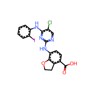 O=C(O)c1ccc(Nc2ncc(Cl)c(Nc3ccccc3I)n2)c2c1CCO2